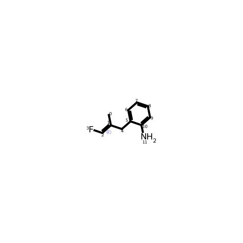 C/C(=C\F)Cc1ccccc1N